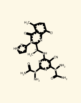 Cc1ccc(Cl)c2nc([C@H](C)Nc3nc(N(N)C(N)=O)nc(N(N)C(N)=O)c3C#N)n(-c3cc[nH]n3)c(=O)c12